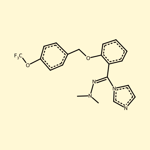 CN(C)N=C(c1ccccc1OCc1ccc(OC(F)(F)F)cc1)n1ccnc1